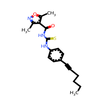 CCCCC#Cc1ccc(NC(=S)NC(=O)c2c(C)noc2C)cc1